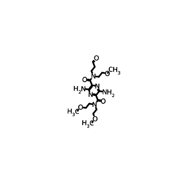 COCCN(CCC=O)C(=O)c1nc(N)c(C(=O)N(CCOC)CCOC)nc1N